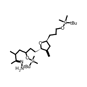 C=C1C[C@H](CCCO[Si](C)(C)C(C)(C)C)O[C@H]1CCC(CC(C)C(C)=NN)O[Si](C)(C)C(C)(C)C